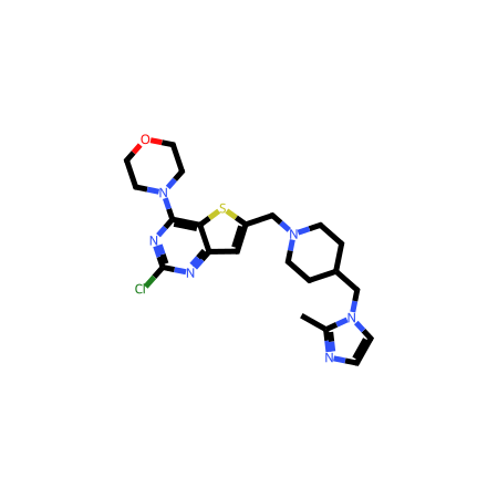 Cc1nccn1CC1CCN(Cc2cc3nc(Cl)nc(N4CCOCC4)c3s2)CC1